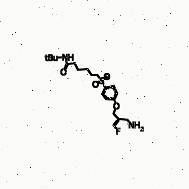 CC(C)(C)NC(=O)CCCCCS(=O)(=O)c1ccc(OC/C(=C/F)CN)cc1